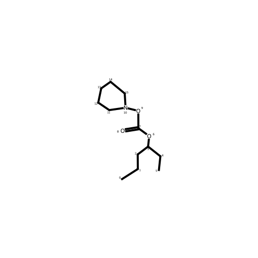 CCCC(CC)OC(=O)ON1CCCCC1